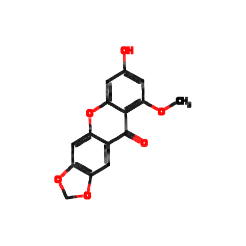 COc1cc(O)cc2oc3cc4c(cc3c(=O)c12)OCO4